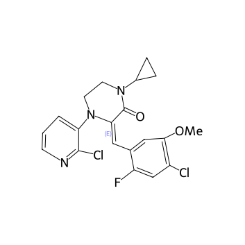 COc1cc(/C=C2\C(=O)N(C3CC3)CCN2c2cccnc2Cl)c(F)cc1Cl